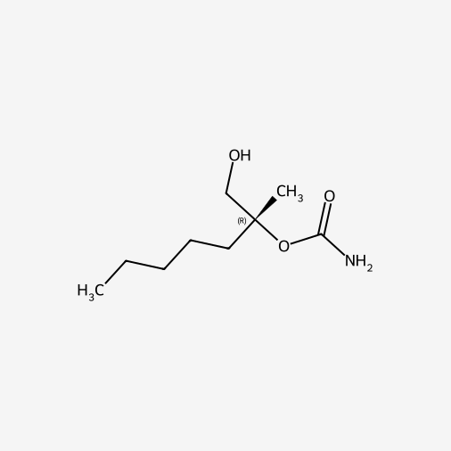 CCCCC[C@](C)(CO)OC(N)=O